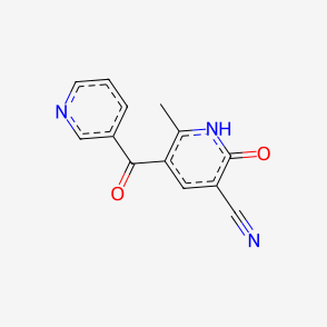 Cc1[nH]c(=O)c(C#N)cc1C(=O)c1cccnc1